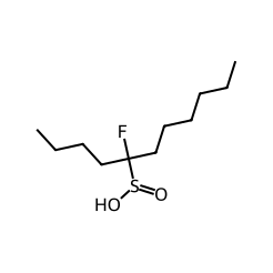 CCCCCCC(F)(CCCC)S(=O)O